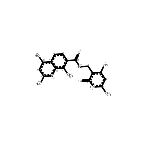 CCCc1cc(C)[nH]c(=O)c1CNC(=O)c1ccc2c(O)cc(C)nc2c1C